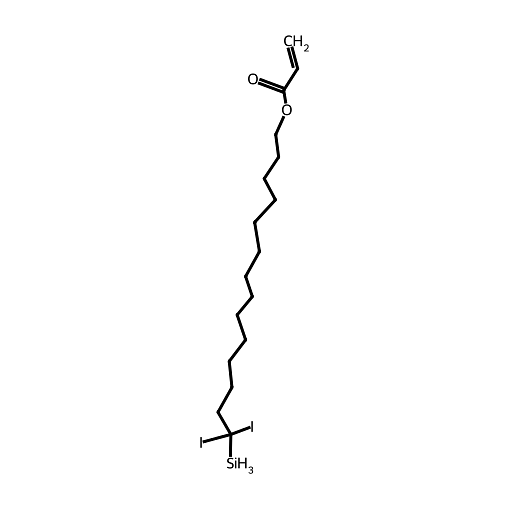 C=CC(=O)OCCCCCCCCCCCCCC([SiH3])(I)I